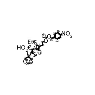 CCSC1C(CCOC(=O)OCc2ccc([N+](=O)[O-])cc2)C(=O)N1C(C(=O)O)C(=S)OC1COCOC1